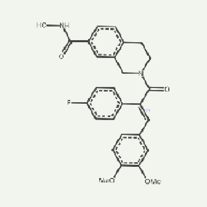 COc1ccc(/C=C(/C(=O)N2CCc3ccc(C(=O)NO)cc3C2)c2ccc(F)cc2)cc1OC